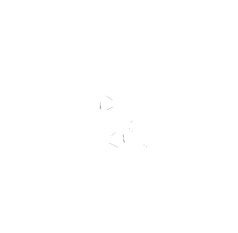 CCCCOc1ccc(OCC(=O)N(CCN(CC)CC)c2cc(OCC)ccc2OCC)cc1